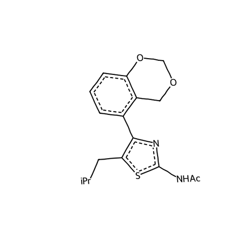 CC(=O)Nc1nc(-c2cccc3c2COCO3)c(CC(C)C)s1